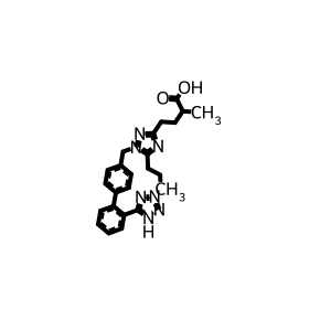 CCCc1nc(CCC(C)C(=O)O)nn1Cc1ccc(-c2ccccc2-c2nnn[nH]2)cc1